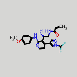 C=CC(=O)NCC(=N)c1c(-c2cnn(C(F)F)c2)ccnc1Nc1ccc(OC(F)(F)F)cc1